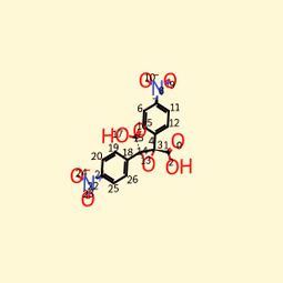 O=C(O)[C@@]1(c2ccc([N+](=O)[O-])cc2)O[C@@]1(C(=O)O)c1ccc([N+](=O)[O-])cc1